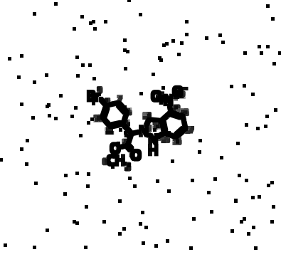 COC(=O)C(c1ccc(Br)cc1)N1Cc2c(cccc2[N+](=O)[O-])N1